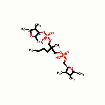 CCCCC(C)(COP(=O)(O)OC[C@H]1O[C@@H](C)C(C)C1C)COP(=O)(O)O[C@H]1C(C)O[C@@H](C)C1C